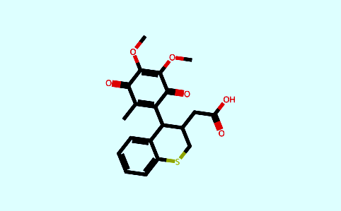 COC1=C(OC)C(=O)C(C2c3ccccc3SCC2CC(=O)O)=C(C)C1=O